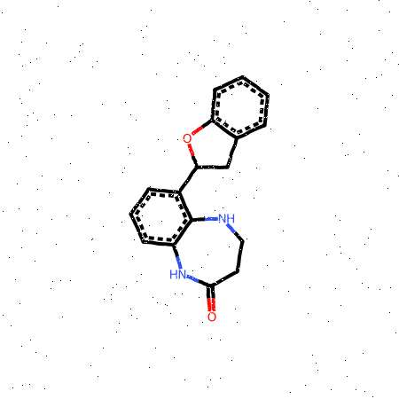 O=C1CCNc2c(cccc2C2Cc3ccccc3O2)N1